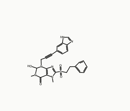 CN1C(=O)c2c(nc(S(=O)(=O)CCc3ccccc3)n2C)N(CC#Cc2ccc3nc[nH]c3c2)C1O